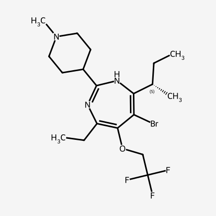 CCC1=C(OCC(F)(F)F)C(Br)=C([C@@H](C)CC)NC(C2CCN(C)CC2)=N1